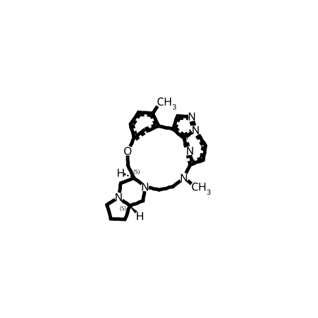 Cc1ccc2cc1-c1cnn3ccc(nc13)N(C)CCN1C[C@@H]3CCCN3C[C@H]1CO2